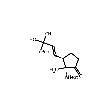 CCCCCCC[C@@]1(C)C(=O)CC[C@@H]1C=CC(C)(O)CCCCC